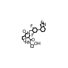 Cn1cc2c(-c3cc(F)c(Cn4cc(C(=O)N[C@@H]5CC[C@H]5O)c5occc5c4=O)c(F)c3)cccc2n1